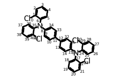 Clc1ccccc1N(c1ccc(-c2ccc(N(c3ccccc3Cl)c3ccccc3Cl)cc2)cc1)c1ccccc1Cl